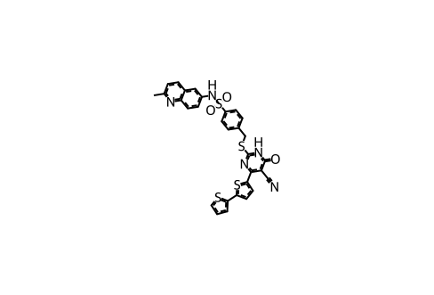 Cc1ccc2cc(NS(=O)(=O)c3ccc(CSc4nc(-c5ccc(-c6cccs6)s5)c(C#N)c(=O)[nH]4)cc3)ccc2n1